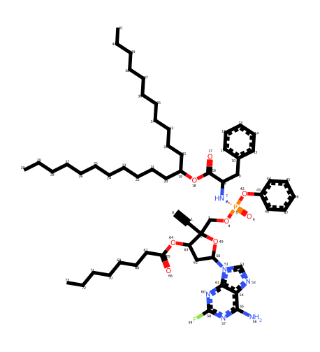 C#CC1(CO[P@@](=O)(NC(Cc2ccccc2)C(=O)OC(CCCCCCCCCCC)CCCCCCCCCCC)Oc2ccccc2)OC(n2cnc3c(N)nc(F)nc32)CC1OC(=O)CCCCCCC